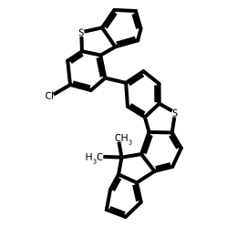 CC1(C)c2ccccc2-c2ccc3sc4ccc(-c5cc(Cl)cc6sc7ccccc7c56)cc4c3c21